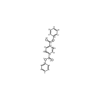 O=C(Oc1ccccc1)c1cnc(C(=O)Oc2ccccc2)cn1